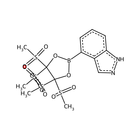 CS(=O)(=O)C1(S(C)(=O)=O)OB(c2cccc3[nH]ncc23)OC1(S(C)(=O)=O)S(C)(=O)=O